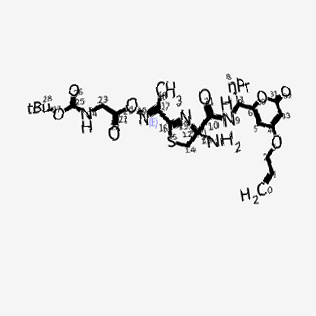 C=CCOc1cc([C@@H](CCC)NC(=O)[C@]2(N)CSC(/C(C)=N/OC(=O)CNC(=O)OC(C)(C)C)=N2)oc(=O)c1